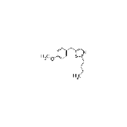 CCCCc1ncc(Cc2ccc(OC)cc2)s1